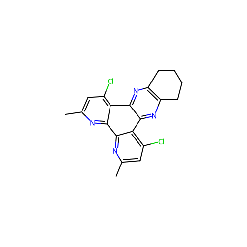 Cc1cc(Cl)c2c(n1)c1nc(C)cc(Cl)c1c1nc3c(nc12)CCCC3